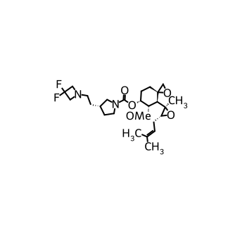 CO[C@@H]1[C@H](OC(=O)N2CC[C@H](CCN3CC(F)(F)C3)C2)CC[C@]2(CO2)[C@H]1[C@@]1(C)O[C@@H]1CC=C(C)C